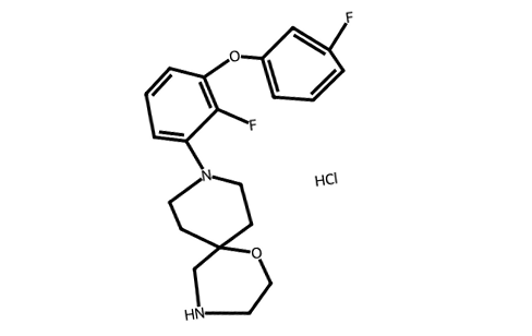 Cl.Fc1cccc(Oc2cccc(N3CCC4(CC3)CNCCO4)c2F)c1